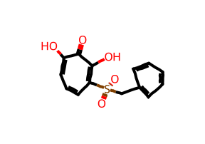 O=c1c(O)cccc(S(=O)(=O)Cc2ccccc2)c1O